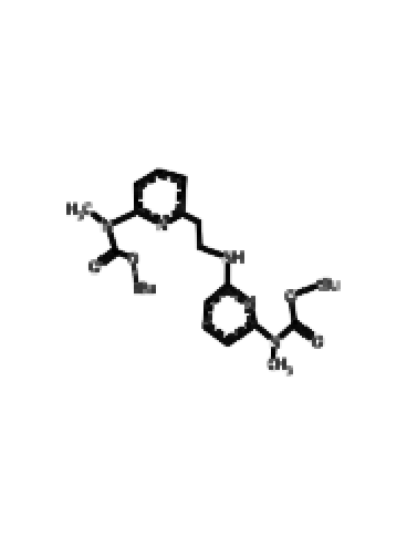 CN(C(=O)OC(C)(C)C)c1cccc(CCNc2cccc(N(C)C(=O)OC(C)(C)C)n2)n1